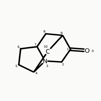 O=C1CN2C3CCC2CC1C3